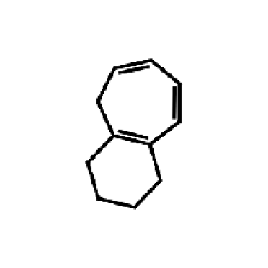 C1=CCC2=C(C=C1)CCCC2